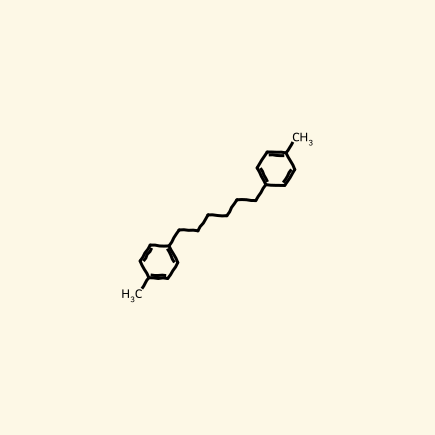 Cc1ccc(CCCCCCc2ccc(C)cc2)cc1